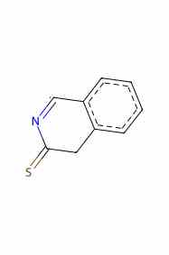 S=C1Cc2ccccc2[C]=N1